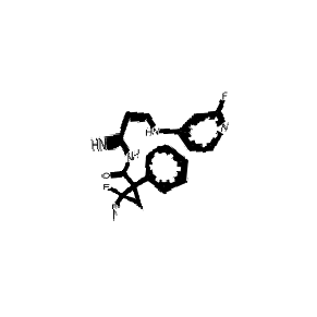 N=C(/C=C\Nc1ccnc(F)c1)NC(=O)C1(c2ccccc2)CC1(F)F